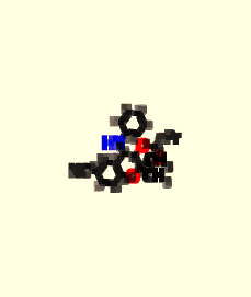 CCCC(=O)OC1C(Nc2ccccc2)c2cc(C#N)ccc2OC1(C)C